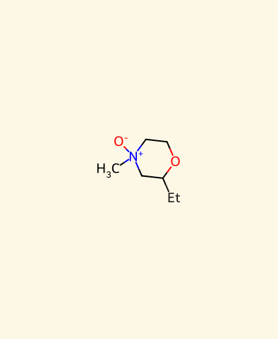 CCC1C[N+](C)([O-])CCO1